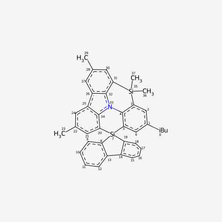 CCC(C)c1cc2c3c(c1)[Si]1(c4ccccc4-c4ccccc41)c1cc(C)cc4c5cc(C)cc(c5n-3c14)[Si]2(C)C